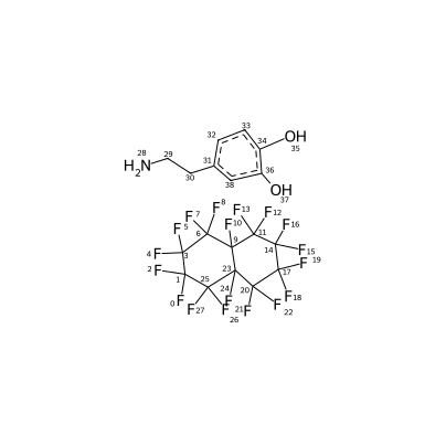 FC1(F)C(F)(F)C(F)(F)C2(F)C(F)(F)C(F)(F)C(F)(F)C(F)(F)C2(F)C1(F)F.NCCc1ccc(O)c(O)c1